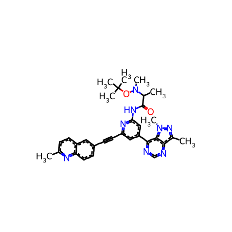 Cc1ccc2cc(C#Cc3cc(-c4ncnc5c(C)nn(C)c45)cc(NC(=O)C(C)N(C)OC(C)(C)C)n3)ccc2n1